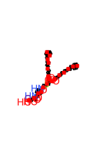 O=C(O)CC[C@H](NC(=O)c1ccc(NC(=O)CCSCC(COC(=O)CCCCCCCCCCCc2ccccc2)OC(=O)CCCCCCCCCCCc2ccccc2)cc1)C(=O)O